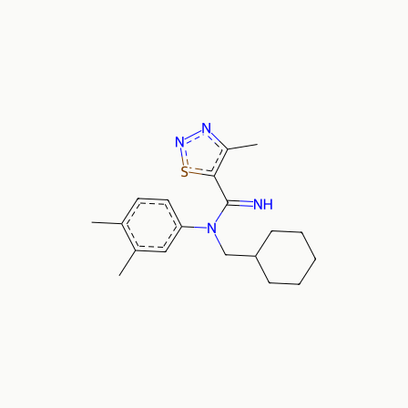 Cc1ccc(N(CC2CCCCC2)C(=N)c2snnc2C)cc1C